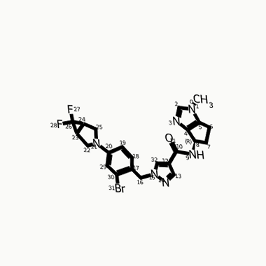 Cn1cnc2c1CC[C@H]2NC(=O)c1cnn(Cc2ccc(N3CC4C(C3)C4(F)F)cc2Br)c1